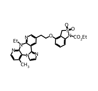 CCOC(=O)N1c2cccc(OCCc3cnc4c(c3)-c3nccn3-c3c(C)ccnc3N4CC)c2CS1(=O)=O